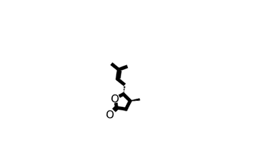 CC(C)=CC[C@H]1OC(=O)C[C@@H]1C